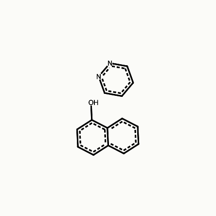 Oc1cccc2ccccc12.c1ccnnc1